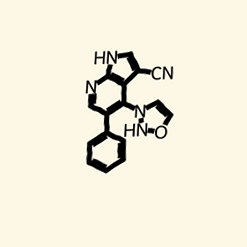 N#Cc1c[nH]c2ncc(-c3ccccc3)c(N3C=CON3)c12